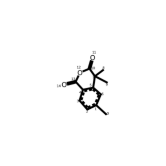 Cc1ccc2c(c1)C(C)(C)C(=O)OC2=O